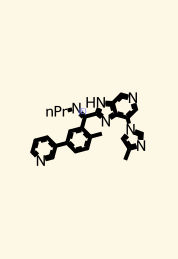 CCC/N=C(/c1nc2c(-n3cnc(C)c3)cncc2[nH]1)c1cc(-c2cccnc2)ccc1C